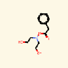 O=C(Cc1ccccc1)ON(CCO)CCO